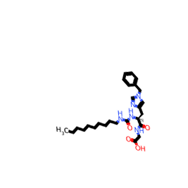 CCCCCCCCCCNC(=O)N[C@@H](Cc1cn(Cc2ccccc2)cn1)C(=O)NCC(=O)O